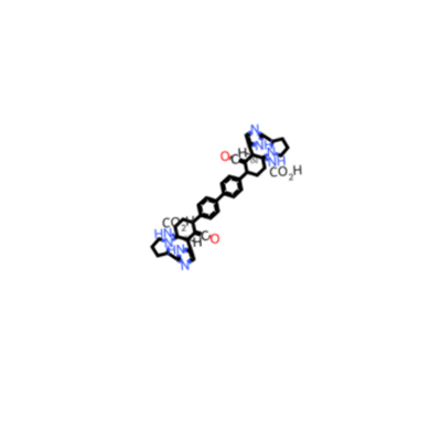 O=C=C1C(c2ccc(-c3ccc(C4CCC5(NC(=O)O)[C@@H](C4=C=O)c4cnc([nH]4)C4CCCN45)cc3)cc2)CCC2(NC(=O)O)[C@@H]1c1cnc([nH]1)C1CCCN12